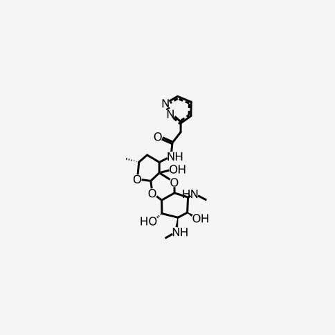 CN[C@@H]1[C@H](O)[C@H](NC)C2OC3(O)C(NC(=O)Cc4cccnn4)C[C@@H](C)OC3OC2[C@H]1O